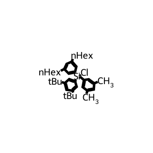 CCCCCCc1cc(CCCCCC)cc([Si](Cl)(c2cc(C)cc(C)c2)c2cc(C(C)(C)C)cc(C(C)(C)C)c2)c1